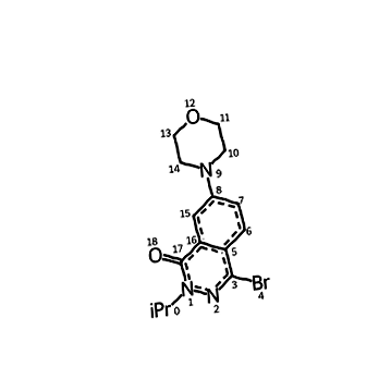 CC(C)n1nc(Br)c2ccc(N3CCOCC3)cc2c1=O